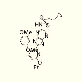 CCOc1cccc(-c2nc3ncc(NS(=O)(=O)CCC4CC4)nc3n2-c2c(OC)cccc2OC)n1